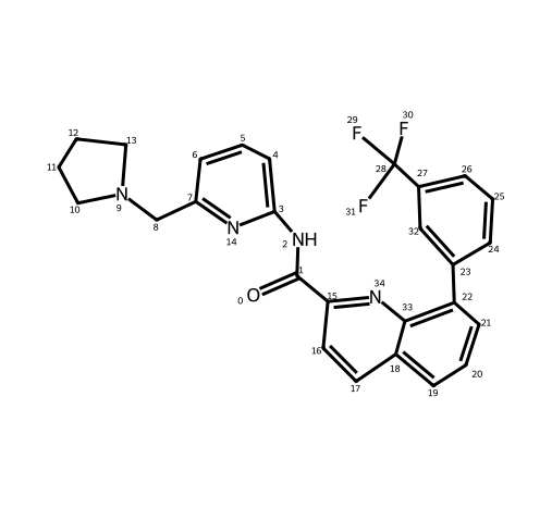 O=C(Nc1cccc(CN2CCCC2)n1)c1ccc2cccc(-c3cccc(C(F)(F)F)c3)c2n1